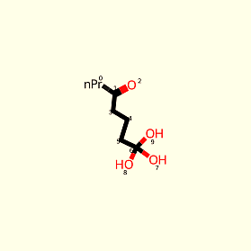 CCCC(=O)CCCC(O)(O)O